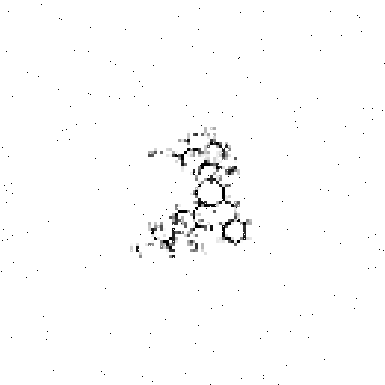 CCC(=O)N(C(=O)[C@@](N)(C(C)C)N1CCC(C(CN)C(=O)[C@H](C)NC(=O)[C@H](C)N)=CC(Cc2ccccc2)C1)[C@H](C(=O)OC)C(C)C